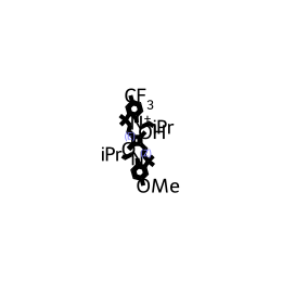 COc1ccc2c(c1)C(C)(C)/C(=C/C1=C(O)C(=C\C3=[N+](CCC(C)C)c4ccc(C(F)(F)F)cc4C3(C)C)/C1=O)N2CCC(C)C